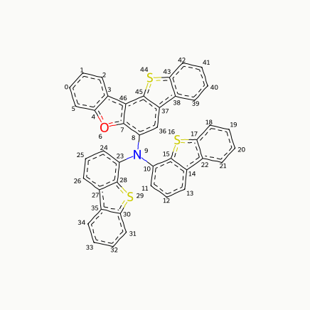 c1ccc2c(c1)oc1c(N(c3cccc4c3sc3ccccc34)c3cccc4c3sc3ccccc34)cc3c4ccccc4sc3c12